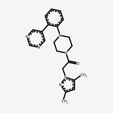 Cc1cc(C)n(CC(=O)N2CCN(c3ccccc3-c3cncnc3)CC2)n1